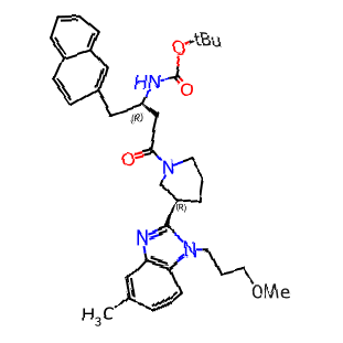 COCCCn1c([C@@H]2CCCN(C(=O)C[C@@H](Cc3ccc4ccccc4c3)NC(=O)OC(C)(C)C)C2)nc2cc(C)ccc21